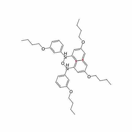 CCCCOc1cccc([SiH](O[SiH](c2cccc(OCCCC)c2)c2cccc(OCCCC)c2)c2cccc(OCCCC)c2)c1